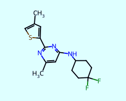 Cc1csc(-c2nc(C)cc(NC3CCC(F)(F)CC3)n2)c1